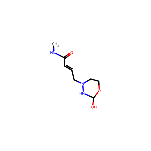 CNC(=O)/C=C/CN1CCOC(O)N1